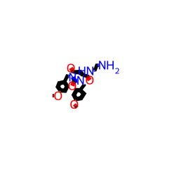 COc1ccc(Cn2c(C(=O)NCCN)cc(=O)n(Cc3ccc(OC)cc3)c2=O)cc1